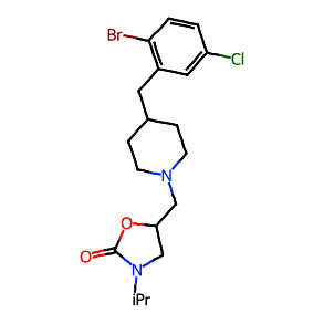 CC(C)N1CC(CN2CCC(Cc3cc(Cl)ccc3Br)CC2)OC1=O